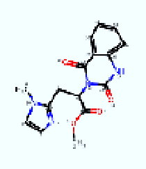 COC(=O)C(Cc1nccn1C)n1c(=O)[nH]c2ccccc2c1=O